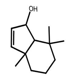 CC1(C)CCCC2(C)C=CC(O)C12